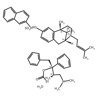 CC(C)=CCN1CC[C@@]2(C)c3cc(O)ccc3C[C@@H]1[C@@H]2C.CCC(=O)O[C@](Cc1ccccc1)(c1ccccc1)[C@H](C)CN(C)C.O.O=S(=O)(O)c1ccc2ccccc2c1